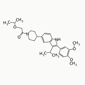 COc1ccc(-c2[nH]c3ccc(C4CCN(C(=O)COC(C)C)CC4)cc3c2C(C)C)cc1OC